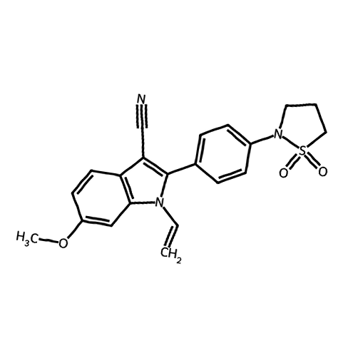 C=Cn1c(-c2ccc(N3CCCS3(=O)=O)cc2)c(C#N)c2ccc(OC)cc21